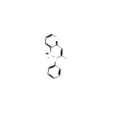 CCC1=Cc2ncccc2S(=O)(=O)N1c1ccccc1